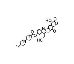 CCc1c2c(nc3ccc(OC(=O)N4CCC(N5CCC(CC)CC5)CC4)cc13)-c1cc3c(c(=O)n1C2)COC(=O)[C@H]3O.Cl